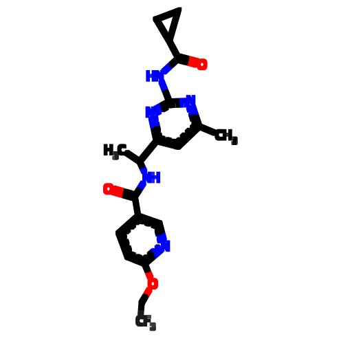 Cc1cc(C(C)NC(=O)c2ccc(OCC(F)(F)F)nc2)nc(NC(=O)C2CC2)n1